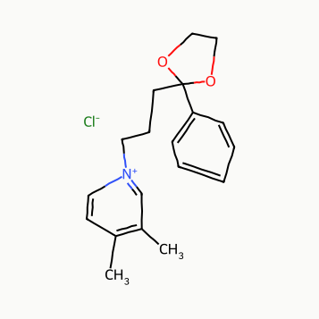 Cc1cc[n+](CCCC2(c3ccccc3)OCCO2)cc1C.[Cl-]